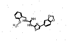 COc1ccccc1CNC(=N)Nc1nc(-c2ccc3c(c2)OCO3)cs1